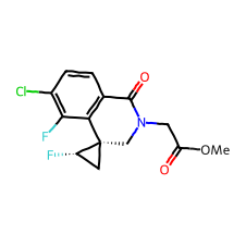 COC(=O)CN1C[C@@]2(C[C@@H]2F)c2c(ccc(Cl)c2F)C1=O